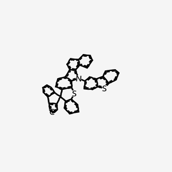 c1ccc2c(c1)Sc1c(ccc3c4ccc5ccccc5c4n(-c4ccc5sc6ccccc6c5c4)c13)C21c2ccccc2-c2ccccc21